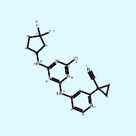 N#CC1(c2cc(Nc3nc(Cl)nc(NC4CCC(F)(F)C4)n3)ccn2)CC1